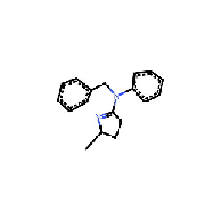 CC1CCC(N(Cc2ccccc2)c2ccccc2)=N1